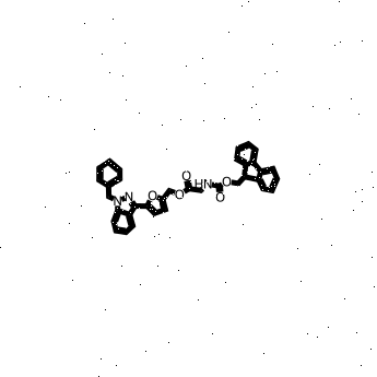 O=C(CNC(=O)OCC1c2ccccc2-c2ccccc21)OCc1ccc(-c2nn(Cc3ccccc3)c3ccccc23)o1